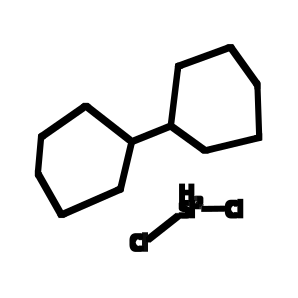 C1CCC(C2CCCCC2)CC1.Cl[SiH2]Cl